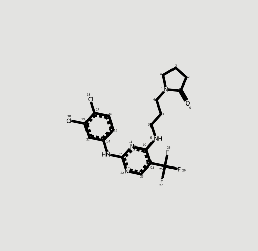 O=C1CCCN1CCCNc1nc(Nc2ccc(Cl)c(Cl)c2)ncc1C(F)(F)F